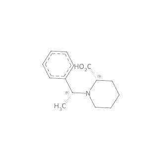 C[C@H](c1ccccc1)N1CCCC[C@H]1C(=O)O